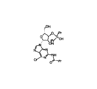 CC(C)C(=O)Nc1nc(Cl)c2ncn([C@@H]3O[C@H](CO)[C@@H](O[Si](O)(C(C)C)C(C)C)[C@H]3O)c2n1